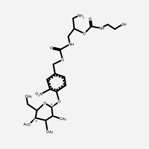 CC(=O)OCC1O[C@@H](Oc2ccc(COC(=O)NCC(CN)OC(=O)NCCS)cc2[N+](=O)[O-])C(OC(C)=O)C(OC(C)=O)[C@H]1OC(C)=O